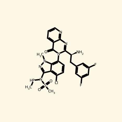 CPN(c1nn(C)c2c(-n3c([C@@H](N)Cc4cc(F)cc(F)c4)nc4ncccc4c3=O)ccc(Cl)c12)S(C)(=O)=O